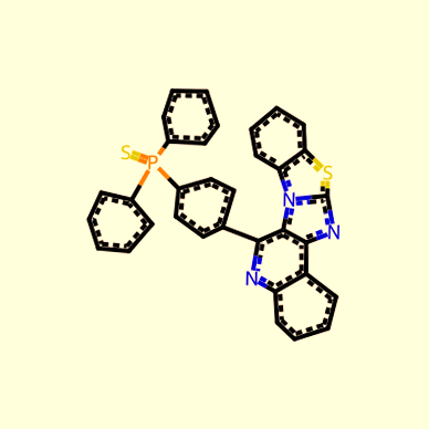 S=P(c1ccccc1)(c1ccccc1)c1ccc(-c2nc3ccccc3c3nc4sc5ccccc5n4c23)cc1